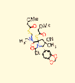 CCC(=O)N1[C@@H](c2ccc3c(c2)OCO3)[C@@](C)(C#N)CC1(SC(=O)COC)C(=O)N(C)CSC(=O)COC